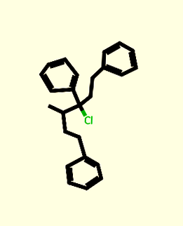 CC(CCc1ccccc1)C(Cl)(CCc1ccccc1)c1ccccc1